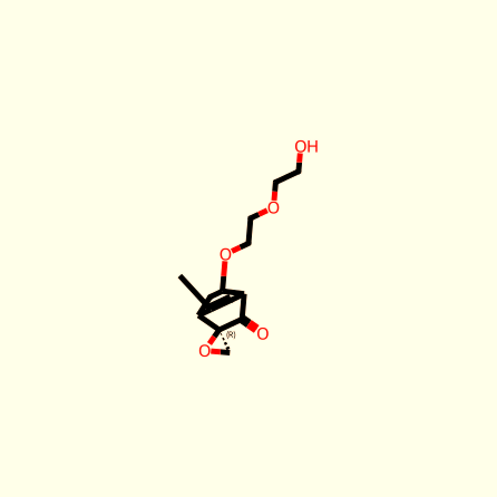 CC1=CC2C(=O)[C@]3(CO3)C1CC2OCCOCCO